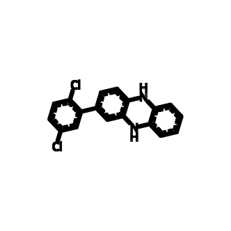 Clc1ccc(Cl)c(-c2ccc3c(c2)Nc2ccccc2N3)c1